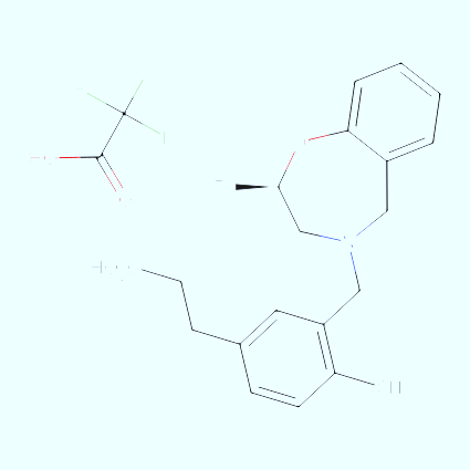 CC[C@@H]1CN(Cc2cc(CCC(=O)O)ccc2C)Cc2ccccc2O1.O=C(O)C(F)(F)F